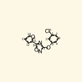 Clc1cccc(Oc2noc(-c3ccco3)n2)c1